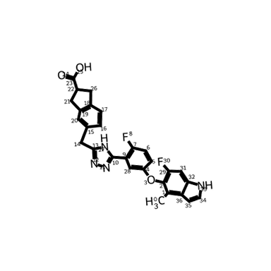 Cc1c(Oc2ccc(F)c(-c3nnc(Cc4ccc5c(c4)CC(C(=O)O)C5)[nH]3)c2)c(F)cc2[nH]ccc12